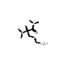 CN(C)C(=O)C(C)(CSCC(=O)O)N(C)C